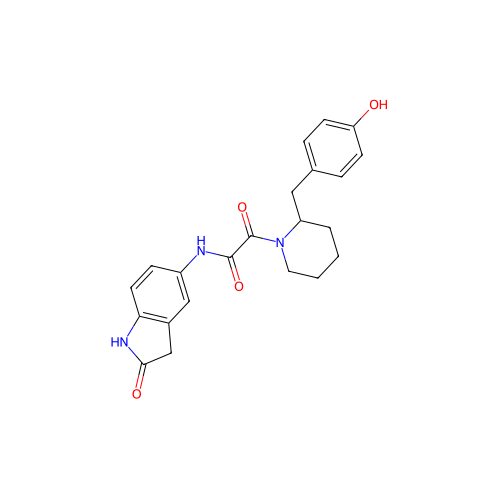 O=C1Cc2cc(NC(=O)C(=O)N3CCCCC3Cc3ccc(O)cc3)ccc2N1